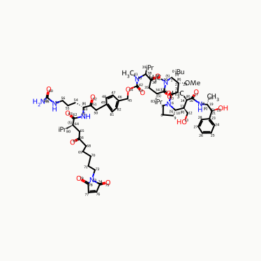 CC[C@H](C)[C@@H]([C@@H](CC(=O)N1CCC[C@H]1[C@H](CO)[C@@H](C)C(=O)N[C@H](C)[C@@H](O)c1ccccc1)OC)N(C)C(=O)[C@@H](CC(=O)C(C(C)C)N(C)C(=O)OCc1ccc(CC(=O)[C@@H](CCCNC(N)=O)NC(=O)[C@@H](CC(=O)CCCCCN2C(=O)C=CC2=O)C(C)C)cc1)C(C)C